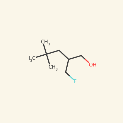 CC(C)(C)CC(CO)CF